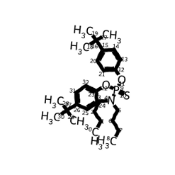 CCCCN(CCCC)P(=S)(Oc1ccc(C(C)(C)C)cc1)Oc1ccc(C(C)(C)C)cc1